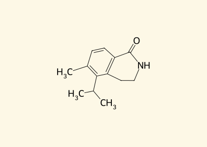 Cc1ccc2c(c1C(C)C)CCNC2=O